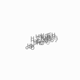 CC(C)C[C@H](C[C@H](O)[C@H](CC1CCCCC1)NC(=O)[C@H](Cc1c[nH]cn1)N(C(=O)OC(C)(C)C)C(=O)[C@@H](N)Cc1ccccc1)C(=O)NCCCCCNC(=O)OCc1ccccc1